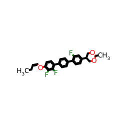 CC/C=C\Oc1ccc(-c2ccc(-c3ccc(C4COC(C)OC4)cc3F)cc2)c(F)c1F